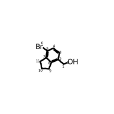 OCc1ccc(Br)c2c1CCC2